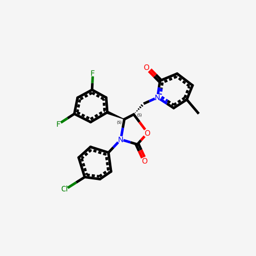 Cc1ccc(=O)n(C[C@@H]2OC(=O)N(c3ccc(Cl)cc3)[C@H]2c2cc(F)cc(F)c2)c1